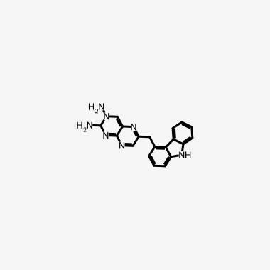 NC1N=c2ncc(Cc3cccc4[nH]c5ccccc5c34)nc2=CN1N